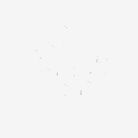 CC(C)C[C@@H](C(=O)N1CCC[C@H]1C(=O)N(C)[C@@H](CC(C)C)C(=O)NCC(N)=O)N(C)C(=O)[C@@H]1CCCN1.Cl